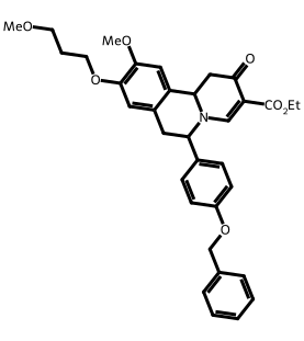 CCOC(=O)C1=CN2C(c3ccc(OCc4ccccc4)cc3)Cc3cc(OCCCOC)c(OC)cc3C2CC1=O